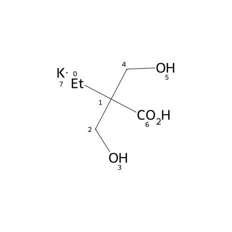 CCC(CO)(CO)C(=O)O.[K]